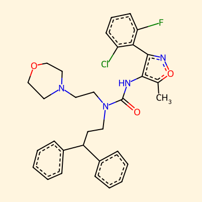 Cc1onc(-c2c(F)cccc2Cl)c1NC(=O)N(CCC(c1ccccc1)c1ccccc1)CCN1CCOCC1